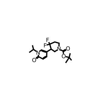 CC(C)n1cc(C2CN(C(=O)OC(C)(C)C)CCC2(F)F)ccc1=O